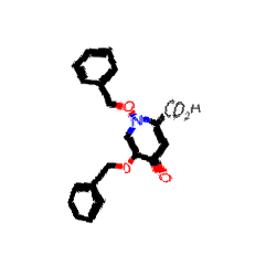 O=C(O)c1cc(=O)c(OCc2ccccc2)cn1OCc1ccccc1